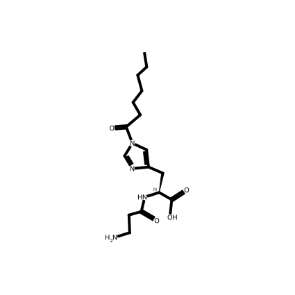 CCCCCCC(=O)n1cnc(C[C@H](NC(=O)CCN)C(=O)O)c1